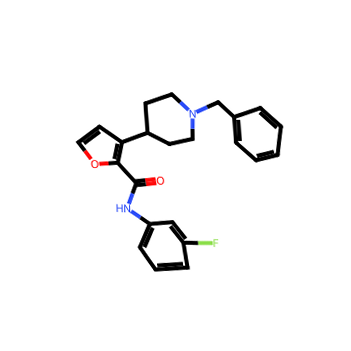 O=C(Nc1cccc(F)c1)c1occc1C1CCN(Cc2ccccc2)CC1